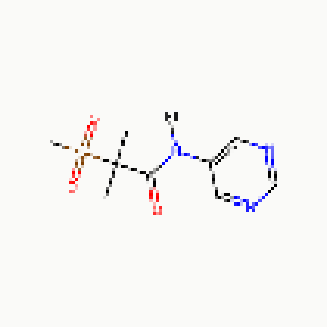 CCN(C(=O)C(C)(C)S(C)(=O)=O)c1cncnc1